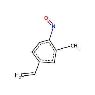 C=Cc1ccc(N=O)c(C)c1